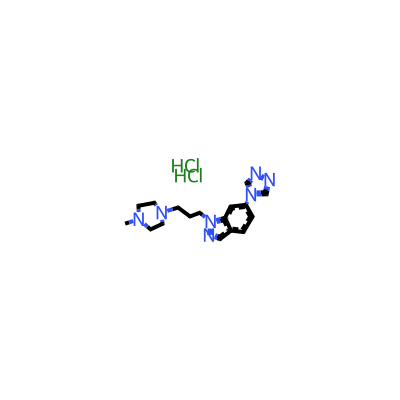 CN1CCN(CCCn2ncc3ccc(-n4cnnc4)cc32)CC1.Cl.Cl